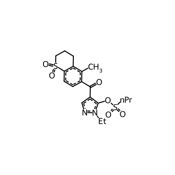 CCCS(=O)(=O)Oc1c(C(=O)c2ccc3c(c2C)CCCS3(=O)=O)cnn1CC